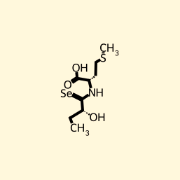 CC[C@@H](O)C(=[Se])N[C@@H](CCSC)C(=O)O